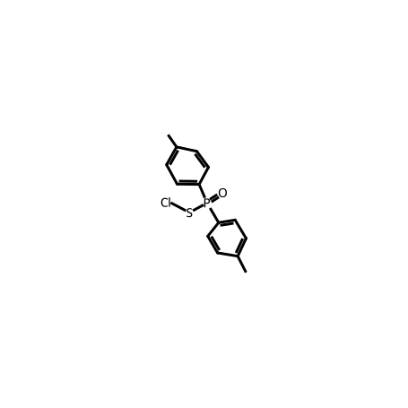 Cc1ccc(P(=O)(SCl)c2ccc(C)cc2)cc1